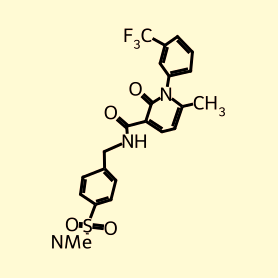 CNS(=O)(=O)c1ccc(CNC(=O)c2ccc(C)n(-c3cccc(C(F)(F)F)c3)c2=O)cc1